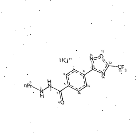 CCCNNC(=O)c1ccc(-c2noc(C(F)(F)F)n2)cc1.Cl